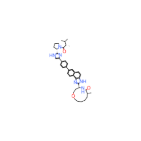 CC(C)[C@H](C)C(=O)N1CCC[C@H]1c1nc(-c2ccc(-c3ccc4c(ccc5[nH]c([C@@H]6CCOCCCCC[C@H](C)C(=O)N6)nc54)c3)cc2)c[nH]1